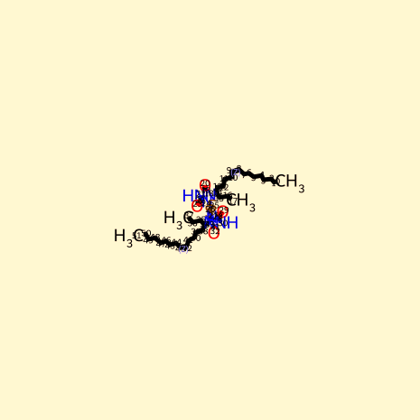 CCCCCCCC/C=C\CCCCC(CCC)n1c(=O)[nH]c(=O)n1SSn1c(=O)[nH]c(=O)n1C(CCC)CCCC/C=C\CCCCCCCC